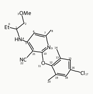 CCC(COC)Nc1cc(C)nc(Oc2c(C)cc(Cl)cc2C)c1C#N